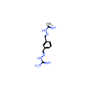 CC(=N)N/N=C/c1cccc(/C=N/NC(=N)N)c1